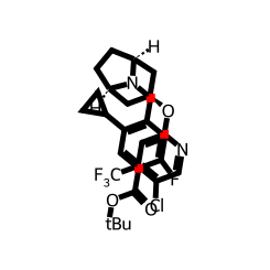 CC(C)(C)OC(=O)c1cc(C2CC2)c(CN2[C@@H]3CC[C@H]2C[C@@H](Oc2cc(C(F)(F)F)c(Cl)cn2)C3)cc1F